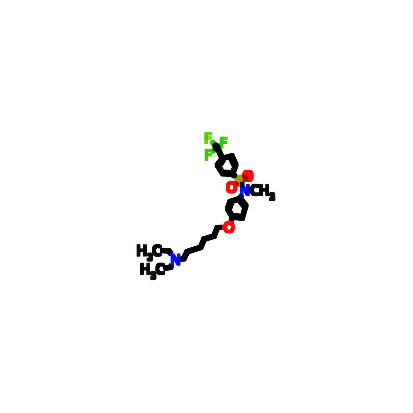 CCN(CC)CCCCCCOc1ccc(N(C)S(=O)(=O)c2ccc(C(F)(F)F)cc2)cc1